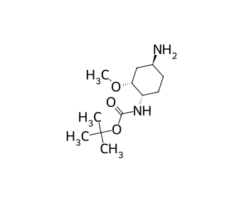 CO[C@@H]1C[C@@H](N)CC[C@@H]1NC(=O)OC(C)(C)C